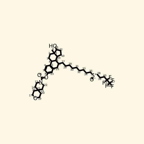 CC12CCC3c4ccc(OC(=O)N5CCC6(CCOCC6)CC5)cc4CC(CCCCCCCCC[S+]([O-])CCCC(F)(F)C(F)(F)F)C3C1CCC2O